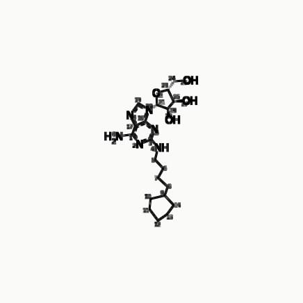 Nc1nc(NCCCCC2CCCCC2)nc2c1ncn2[C@@H]1O[C@H](CO)[C@@H](O)[C@H]1O